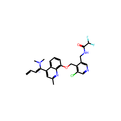 C=C/C=C(/c1cc(C)nc2c(OCc3c(Cl)cncc3CNC(=O)C(F)F)cccc12)N(C)C